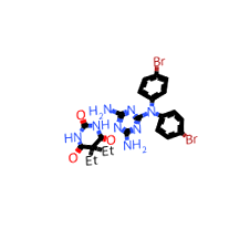 CCC1(CC)C(=O)NC(=O)NC1=O.Nc1nc(N)nc(N(c2ccc(Br)cc2)c2ccc(Br)cc2)n1